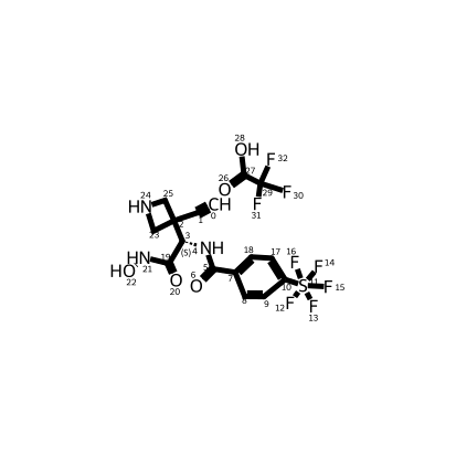 C#CC1([C@H](NC(=O)c2ccc(S(F)(F)(F)(F)F)cc2)C(=O)NO)CNC1.O=C(O)C(F)(F)F